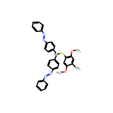 COc1cc([S][Zn]([c]2ccc(/N=N/c3ccccc3)cc2)[c]2ccc(/N=N/c3ccccc3)cc2)c(OC)cc1C